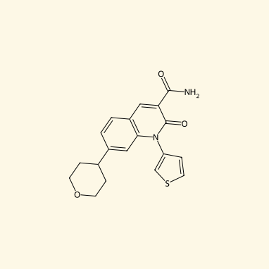 NC(=O)c1cc2ccc(C3CCOCC3)cc2n(-c2ccsc2)c1=O